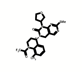 CSc1ncc2c(n1)N(C1CCOC1)C(=O)N([C@H]1CCN(C(=O)C(F)(F)F)c3c(C)cccc31)C2